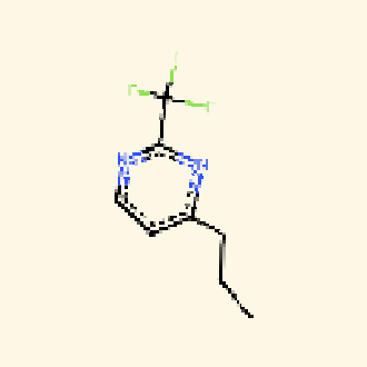 CCCc1ccnc(C(F)(F)F)n1